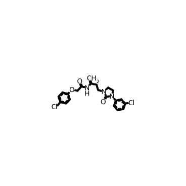 C=C(CCN1CCN(c2cccc(Cl)c2)C1=O)NC(=O)COc1ccc(Cl)cc1